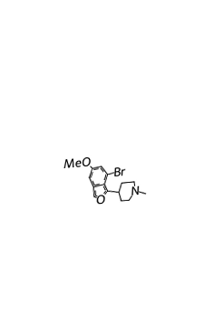 COc1cc(Br)c2c(C3CCN(C)CC3)occ2c1